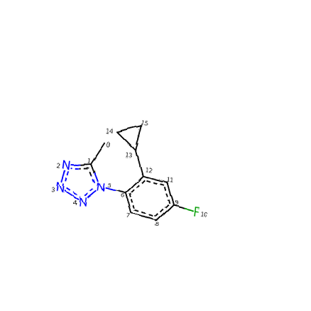 Cc1nnnn1-c1ccc(F)cc1C1CC1